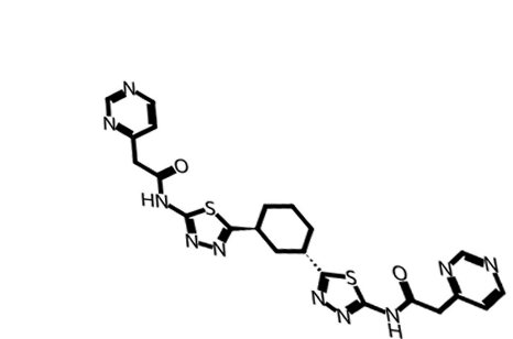 O=C(Cc1ccncn1)Nc1nnc([C@H]2CCC[C@H](c3nnc(NC(=O)Cc4ccncn4)s3)C2)s1